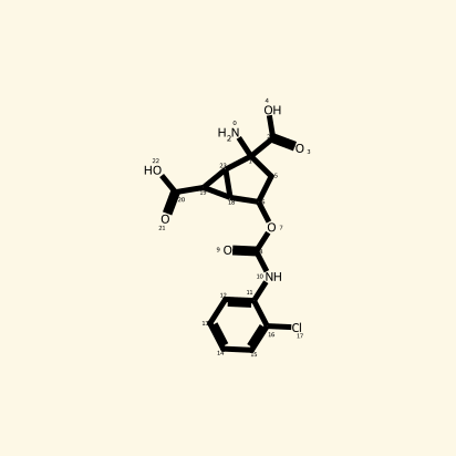 NC1(C(=O)O)CC(OC(=O)Nc2ccccc2Cl)C2C(C(=O)O)C21